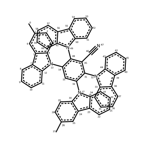 Cc1ccc2c(c1)c1ccccc1n2-c1cc(-n2c3ccccc3c3cc(C)ccc32)c(-n2c3ccccc3c3ccccc32)c(C#N)c1-n1c2ccccc2c2ccccc21